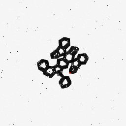 c1ccc(-n2c3cc4c(cc3c3c5ccccc5ccc32)C2(c3ccccc3-c3ccccc32)c2ccccc2C42c3ccccc3-c3ccccc32)cc1